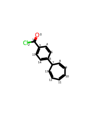 O=C(Cl)c1ccc(C2C=CC=CC=C2)cc1